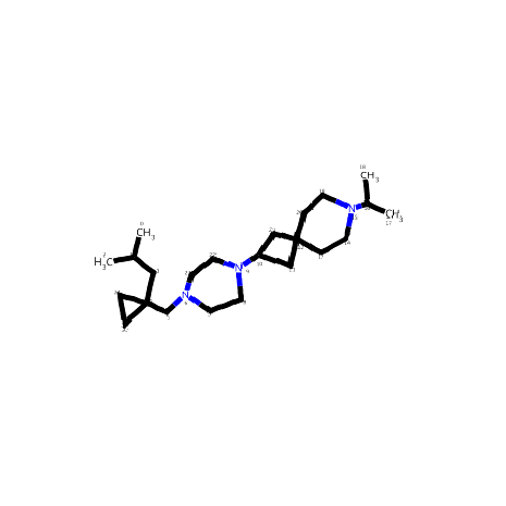 CC(C)CC1(CN2CCN(C3CC4(CCN(C(C)C)CC4)C3)CC2)CC1